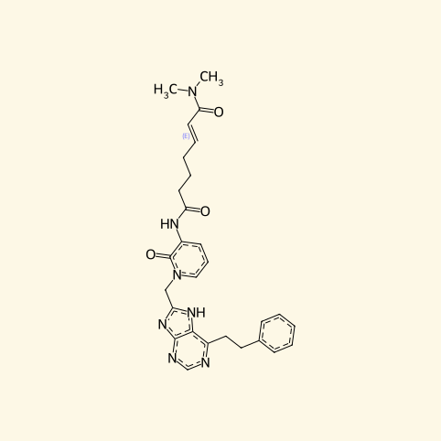 CN(C)C(=O)/C=C/CCCC(=O)Nc1cccn(Cc2nc3ncnc(CCc4ccccc4)c3[nH]2)c1=O